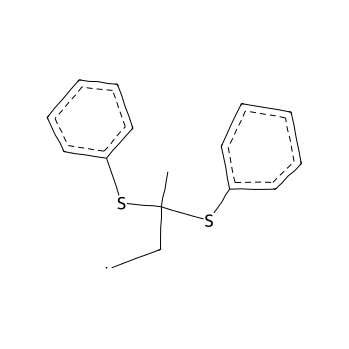 [CH2]CC(C)(Sc1ccccc1)Sc1ccccc1